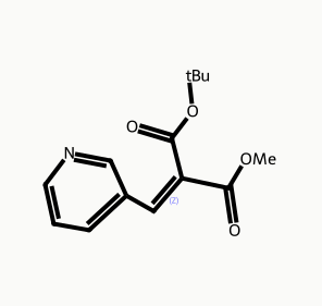 COC(=O)/C(=C/c1cccnc1)C(=O)OC(C)(C)C